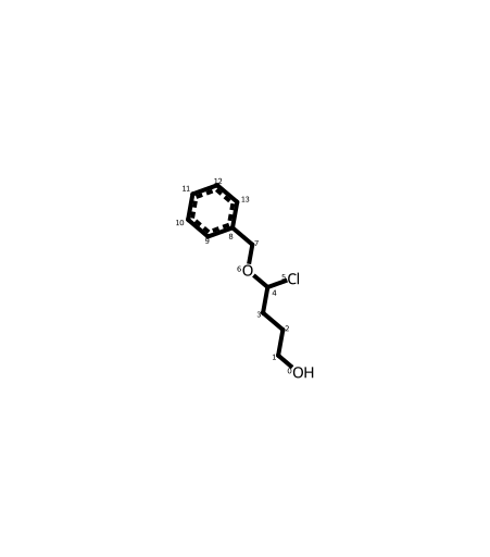 OCCCC(Cl)OCc1ccccc1